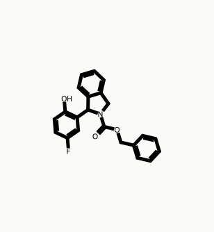 O=C(OCc1ccccc1)N1Cc2ccccc2C1c1cc(F)ccc1O